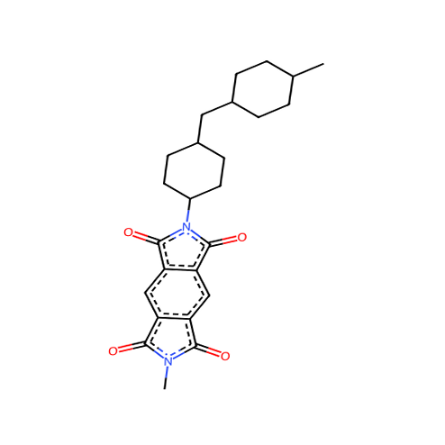 CC1CCC(CC2CCC(n3c(=O)c4cc5c(=O)n(C)c(=O)c5cc4c3=O)CC2)CC1